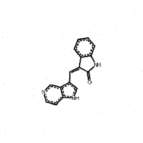 O=C1Nc2ccccc2C1=Cc1c[nH]c2ccncc12